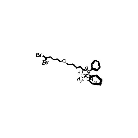 CC(C)(C)[Si](OCCCCCOCCCCC(Br)Br)(c1ccccc1)c1ccccc1